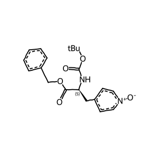 CC(C)(C)OC(=O)N[C@@H](Cc1cc[n+]([O-])cc1)C(=O)OCc1ccccc1